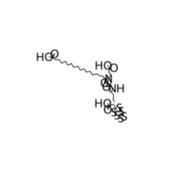 O=C(O)CCCCCCCCCCCCCCCCC(=O)N(CCC(=O)O)CC(=O)NCCCC[C@@H](C(=O)O)C1SSC2(SS1)SS2